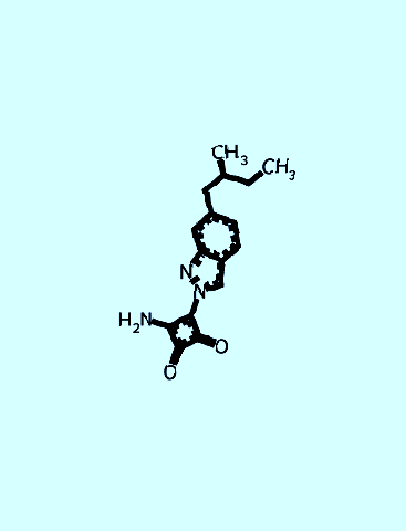 CCC(C)Cc1ccc2cn(-c3c(N)c(=O)c3=O)nc2c1